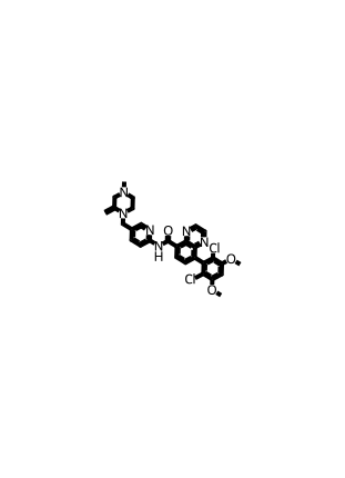 C=C1CN(C)CCN1Cc1ccc(NC(=O)c2ccc(-c3c(Cl)c(OC)cc(OC)c3Cl)c3nccnc23)nc1